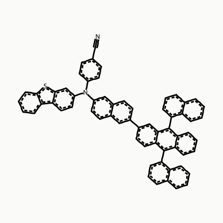 N#Cc1ccc(N(c2ccc3cc(-c4ccc5c(-c6cccc7ccccc67)c6ccccc6c(-c6cccc7ccccc67)c5c4)ccc3c2)c2ccc3c(c2)sc2ccccc23)cc1